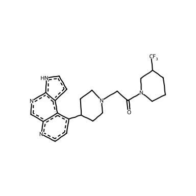 O=C(CN1CCC(c2ccnc3cnc4[nH]ccc4c23)CC1)N1CCCC(C(F)(F)F)C1